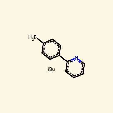 Bc1ccc(-c2ccccn2)c([C@H](C)CC)c1